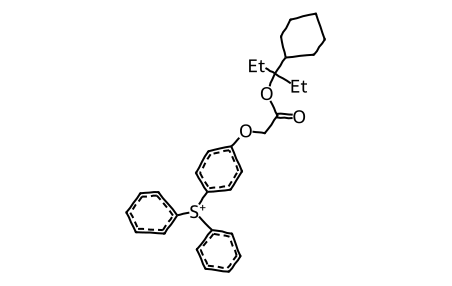 CCC(CC)(OC(=O)COc1ccc([S+](c2ccccc2)c2ccccc2)cc1)C1CCCCC1